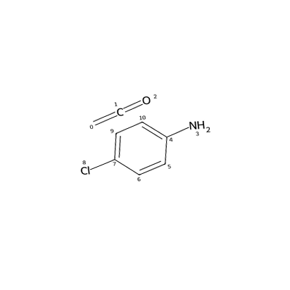 C=C=O.Nc1ccc(Cl)cc1